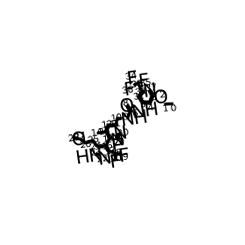 CCOc1cc(NC(=O)NCc2cc(C)c(-c3c(C(F)(F)F)n[nH]c3CCOC)nn2)cc(C(F)(F)F)n1